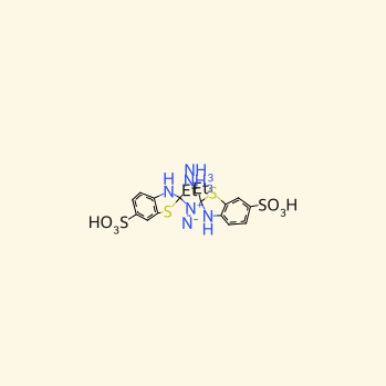 CCC1([N+](=[N-])C2(CC)Nc3ccc(S(=O)(=O)O)cc3S2)Nc2ccc(S(=O)(=O)O)cc2S1.N.N